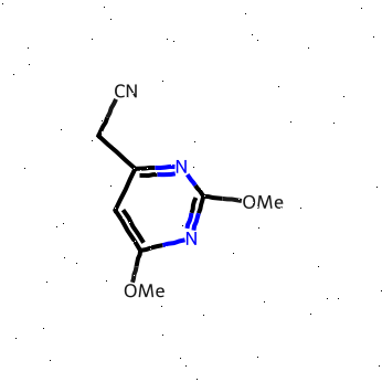 COc1cc(CC#N)nc(OC)n1